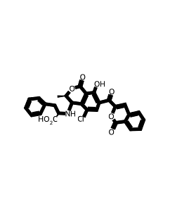 C[C@H]1OC(=O)c2c(O)c(C(=O)c3cc4ccccc4c(=O)o3)cc(Cl)c2C1N[C@@H](Cc1ccccc1)C(=O)O